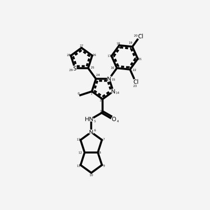 Cc1c(C(=O)NN2CC3CCCC3C2)nn(-c2ccc(Cl)cc2Cl)c1-c1cccs1